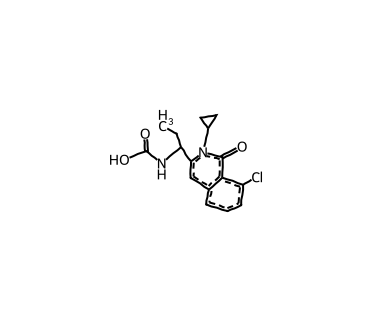 CCC(NC(=O)O)c1cc2cccc(Cl)c2c(=O)n1C1CC1